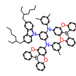 CCCCC(CC)Cc1ccc2c(c1)c1cc(CC(CC)CCCC)ccc1n2-c1cc(N(c2cc(C)cc(C)c2)c2cc3c4c(c2)Oc2ccccc2B4c2ccccc2O3)cc(N(c2cc(C)cc(C)c2)c2cc3c4c(c2)Oc2ccccc2B4c2ccccc2O3)c1